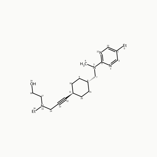 CCc1cnc(N(C)C[C@H]2CC[C@H](C#CCN(CC)CCO)CC2)nc1